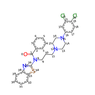 O=C(c1ccccc1)N(CCCN1CCN(c2ccc(Cl)c(Cl)c2)CC1)c1nc2ccccc2s1